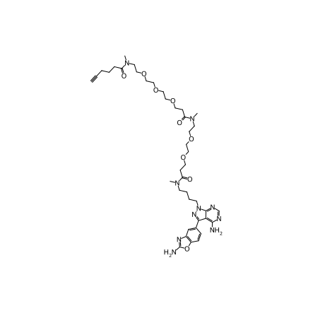 C#CCCCC(=O)N(C)CCOCCOCCOCCC(=O)N(C)CCOCCOCCC(=O)N(C)CCCCn1nc(-c2ccc3oc(N)nc3c2)c2c(N)ncnc21